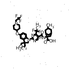 CCC1(CC)CN(c2ncc(C(=O)NC3(C(=O)O)CC4CC(C)CC3C4)c(C(C)(F)F)n2)c2ccc(OC3CCN(CC(F)(F)F)CC3)cc21